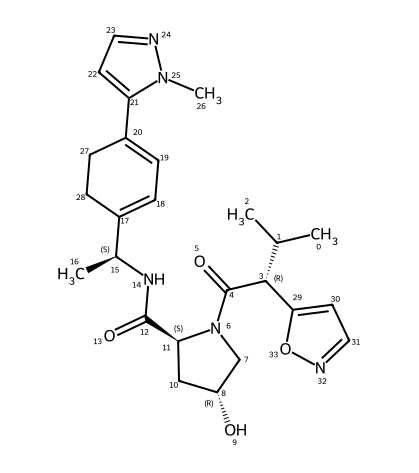 CC(C)[C@@H](C(=O)N1C[C@H](O)C[C@H]1C(=O)N[C@@H](C)C1=CC=C(c2ccnn2C)CC1)c1ccno1